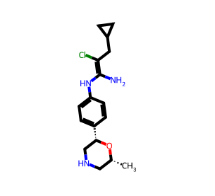 C[C@@H]1CNC[C@H](c2ccc(N/C(N)=C(\Cl)CC3CC3)cc2)O1